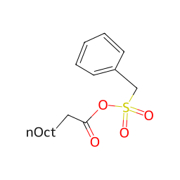 CCCCCCCCCC(=O)OS(=O)(=O)Cc1ccccc1